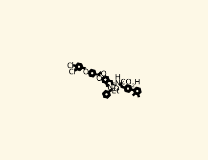 CC[C@@H](c1ccccc1)N1Cc2cc3c(cc2C[C@H]1C(=O)N[C@@H](Cc1ccc(-c2cccc(C)c2C)cc1)C(=O)O)OC[C@H](c1ccc(OCc2ccc(Cl)c(Cl)c2)cc1)O3